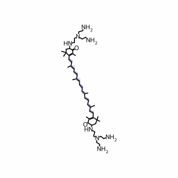 CC1=C(/C=C/C(C)=C/C=C/C(C)=C/C=C/C=C(C)/C=C/C=C(C)/C=C/C2=C(C)C(=O)C(NCCN(CCN)CCN)CC2(C)C)C(C)(C)CC(NCCN(CCN)CCN)C1=O